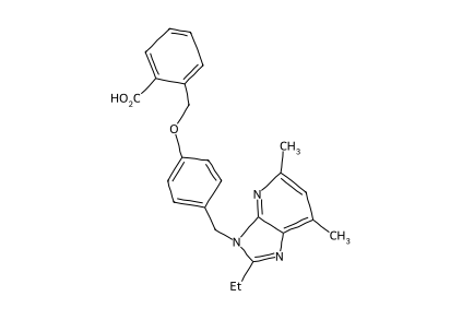 CCc1nc2c(C)cc(C)nc2n1Cc1ccc(OCc2ccccc2C(=O)O)cc1